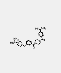 CC(=N)c1ccc(C(=O)N2CCN(C(=O)c3cccc(CN4CCN(C(=N)N)CC4)c3)CC2)cc1